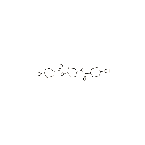 O=C(OC1CCC(OC(=O)C2CCC(O)CC2)CC1)C1CCC(O)CC1